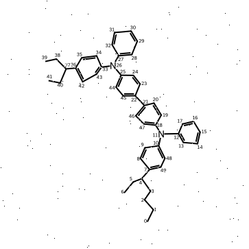 CCCCC(CC)c1ccc(N(c2ccccc2)c2ccc(-c3ccc(N(c4ccccc4)c4ccc(C(CC)CC)cc4)cc3)cc2)cc1